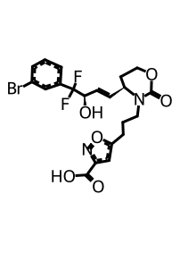 O=C(O)c1cc(CCCN2C(=O)OCC[C@@H]2/C=C/[C@@H](O)C(F)(F)c2cccc(Br)c2)on1